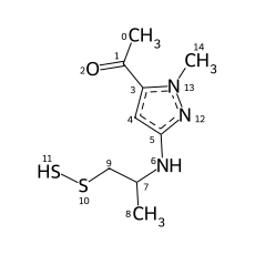 CC(=O)c1cc(NC(C)CSS)nn1C